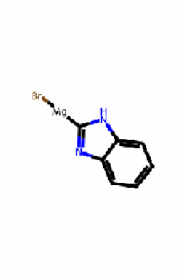 [Br][Mg][c]1nc2ccccc2[nH]1